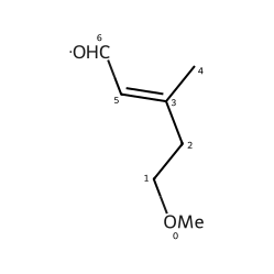 COCCC(C)=C[C]=O